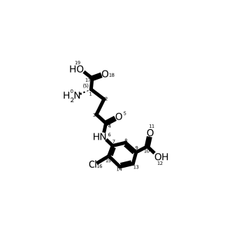 N[C@@H](CCC(=O)Nc1cc(C(=O)O)ccc1Cl)C(=O)O